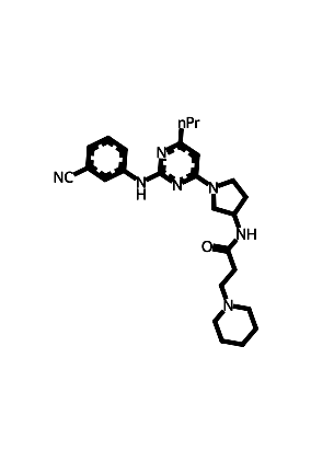 CCCc1cc(N2CCC(NC(=O)CCN3CCCCC3)C2)nc(Nc2cccc(C#N)c2)n1